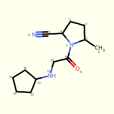 CC1CCC(C#N)N1C(=O)CNC1CCCC1